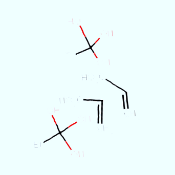 C=CC(=O)O.C=CC(=O)O.CCC(O)(O)O.CCC(O)(O)O